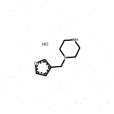 Cl.c1cc(CN2CCNCC2)co1